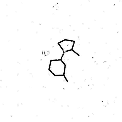 CC1CCCC(N2CCCC2C)C1.O